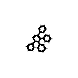 C1=CC(c2ccccc2)=C(c2ccccc2)C(c2ccccc2)[C]1c1ccccc1